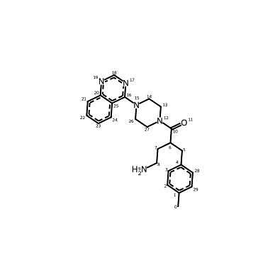 Cc1ccc(CC(CCN)C(=O)N2CCN(c3ncnc4ccccc34)CC2)cc1